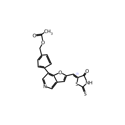 CC(=O)OCc1ccc(-c2cncc3cc(/C=C4\SC(=S)NC4=O)oc23)cc1